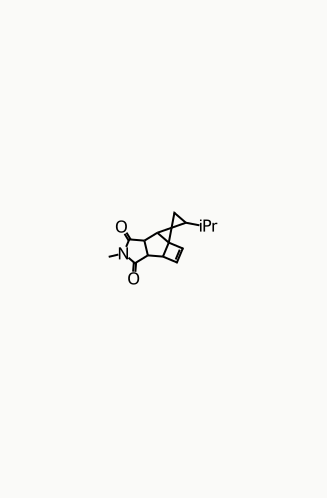 CC(C)C1CC12C1C3C(=O)N(C)C(=O)C3C3C=CC312